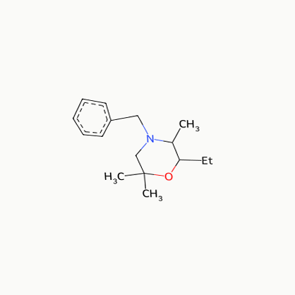 CCC1OC(C)(C)CN(Cc2ccccc2)C1C